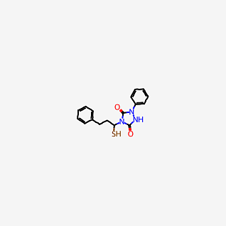 O=c1[nH]n(-c2ccccc2)c(=O)n1C(S)CCc1ccccc1